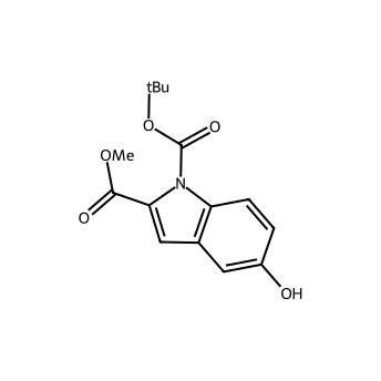 COC(=O)c1cc2cc(O)ccc2n1C(=O)OC(C)(C)C